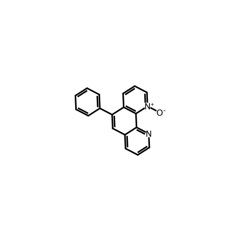 [O-][n+]1cccc2c(-c3ccccc3)cc3cccnc3c21